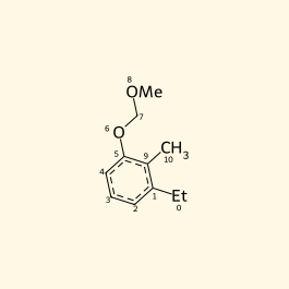 CCc1cccc(OCOC)c1C